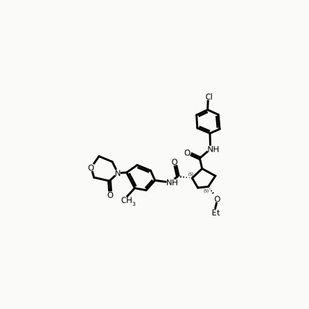 CCO[C@H]1CC(C(=O)Nc2ccc(Cl)cc2)[C@@H](C(=O)Nc2ccc(N3CCOCC3=O)c(C)c2)C1